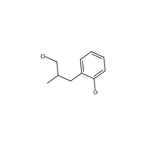 CC(CCl)Cc1ccccc1[O]